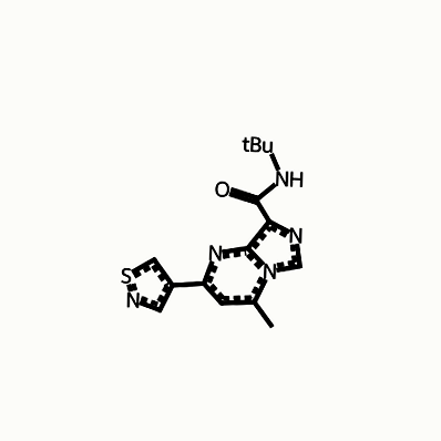 Cc1cc(-c2cnsc2)nc2c(C(=O)NC(C)(C)C)ncn12